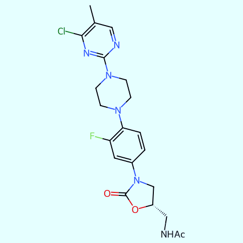 CC(=O)NC[C@H]1CN(c2ccc(N3CCN(c4ncc(C)c(Cl)n4)CC3)c(F)c2)C(=O)O1